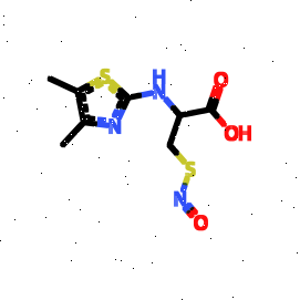 Cc1nc(NC(CSN=O)C(=O)O)sc1C